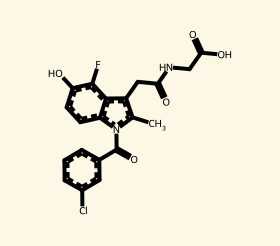 Cc1c(CC(=O)NCC(=O)O)c2c(F)c(O)ccc2n1C(=O)c1cccc(Cl)c1